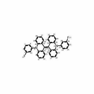 Fc1cccc(N2c3ccccc3C(=C3c4ccccc4N(c4cccc(F)c4)c4ccccc43)c3ccccc32)c1